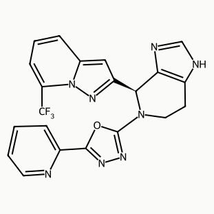 FC(F)(F)c1cccc2cc([C@H]3c4nc[nH]c4CCN3c3nnc(-c4ccccn4)o3)nn12